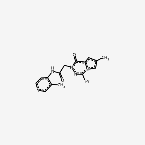 Cc1cc2c(=O)n(CC(=O)Nc3ccncc3C)nc(C(C)C)n2c1